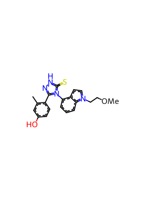 COCCn1ccc2c(-n3c(-c4ccc(O)cc4C)n[nH]c3=S)cccc21